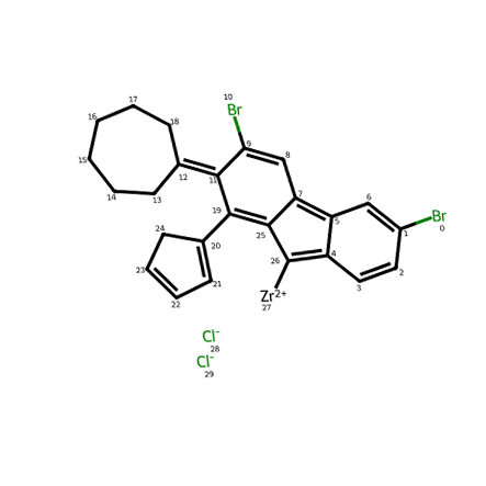 Brc1ccc2c(c1)=c1cc(Br)c(=C3CCCCCC3)c(C3=CC=CC3)c1[C]=2[Zr+2].[Cl-].[Cl-]